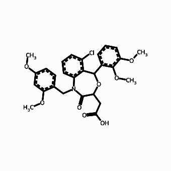 COc1ccc(CN2C(=O)C(CC(=O)O)OC(c3cccc(OC)c3OC)c3c(Cl)cccc32)c(OC)c1